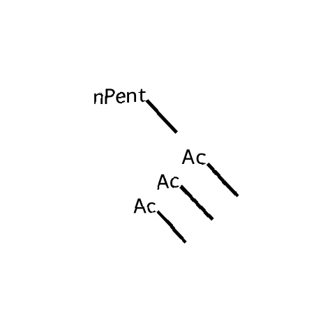 CC(C)=O.CC(C)=O.CC(C)=O.CCCCCC